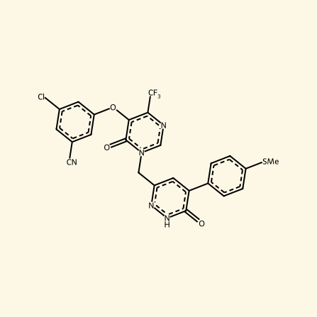 CSc1ccc(-c2cc(Cn3cnc(C(F)(F)F)c(Oc4cc(Cl)cc(C#N)c4)c3=O)n[nH]c2=O)cc1